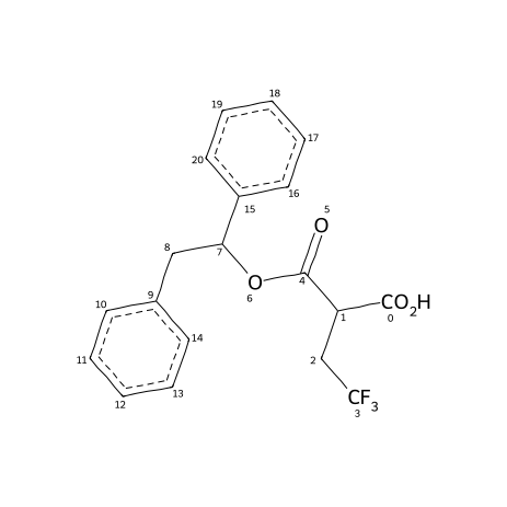 O=C(O)C(CC(F)(F)F)C(=O)OC(Cc1ccccc1)c1ccccc1